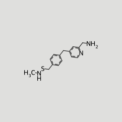 CNSCc1ccc(Cc2ccnc(CN)c2)cc1